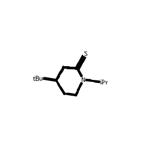 CC(C)N1CCC(C(C)(C)C)CC1=S